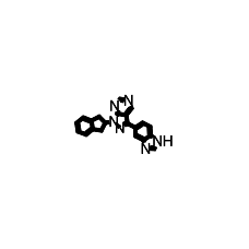 c1ccc2c(c1)CC(n1nc(-c3ccc4[nH]cnc4c3)c3cncnc31)C2